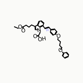 CCOC(=O)CCCc1cn(CC(=O)O)c2c(/C=C/c3ccc(OCCCCOc4ccccc4)cc3)cccc12